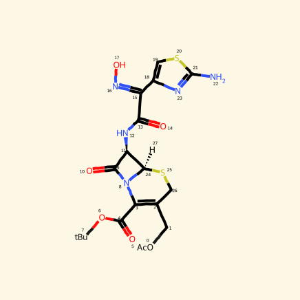 CC(=O)OCC1=C(C(=O)OC(C)(C)C)N2C(=O)[C@@H](NC(=O)C(=NO)c3csc(N)n3)[C@H]2SC1